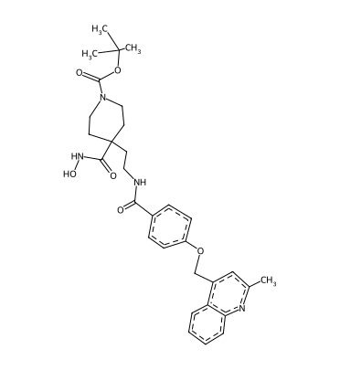 Cc1cc(COc2ccc(C(=O)NCCC3(C(=O)NO)CCN(C(=O)OC(C)(C)C)CC3)cc2)c2ccccc2n1